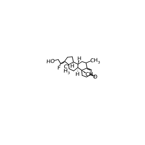 CC1C[C@@H]2[C@H](CC[C@]3(C)C(=C(F)CO)CC[C@@H]23)[C@@]2(C)CCC(=O)C=C12